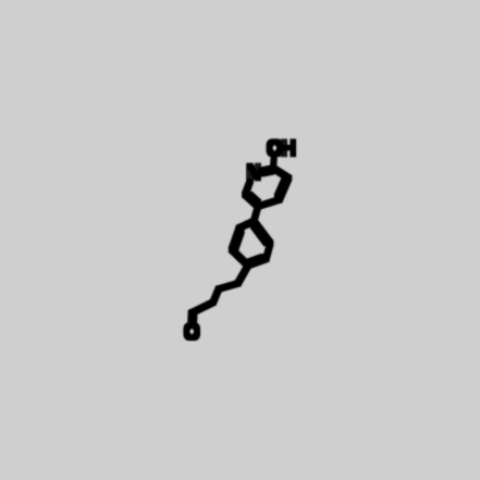 O=CCCCc1ccc(-c2ccc(O)nc2)cc1